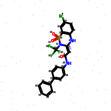 O=C(/C=C1/Nc2ccc(Br)cc2S(=O)(=O)N1C(F)(F)F)Nc1ccc(-c2ccccc2)cc1